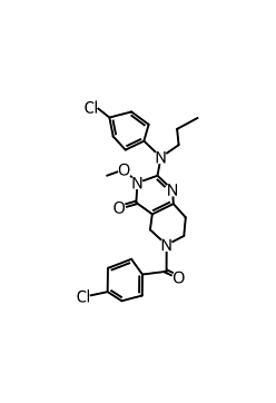 CCCN(c1ccc(Cl)cc1)c1nc2c(c(=O)n1OC)CN(C(=O)c1ccc(Cl)cc1)CC2